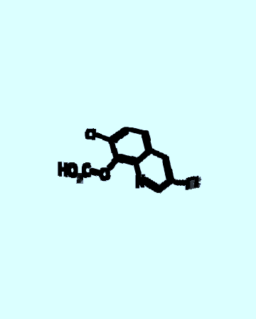 CCc1cnc2c(OC(=O)O)c(Cl)ccc2c1